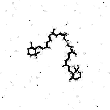 CC(C=CC1=C(C)CCCC1(C)C)=CC=CC(C)=CC=C(C)COCC=C(C)C=CC=C(C)C=CC1=C(C)CCCC1(C)C